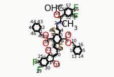 C/C(=C\c1cc2c(C(=O)OCc3ccccc3)c3sc(C=C4C(=O)c5cc(F)c(F)cc5C4=O)cc3c(C(=O)OCc3ccccc3)c2s1)C(=O)c1cc(F)c(F)cc1C=O